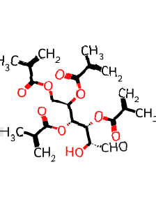 C=C(C)C(=O)OC[C@@H](OC(=O)C(=C)C)[C@@H](OC(=O)C(=C)C)[C@H](OC(=O)C(=C)C)[C@@H](O)C=O